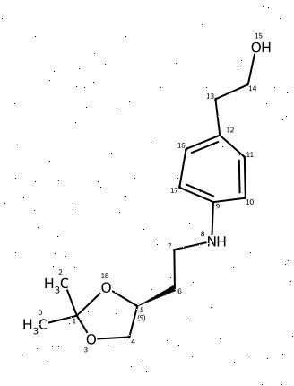 CC1(C)OC[C@H](CCNc2ccc(CCO)cc2)O1